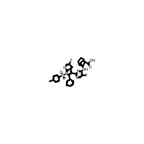 Cc1ccc(S(=O)(=O)n2c(-c3ccccc3)c(-c3ncc(F)c(NC4C5CCC(CC5)C4C(=O)O)n3)c3cc(F)cnc32)cc1